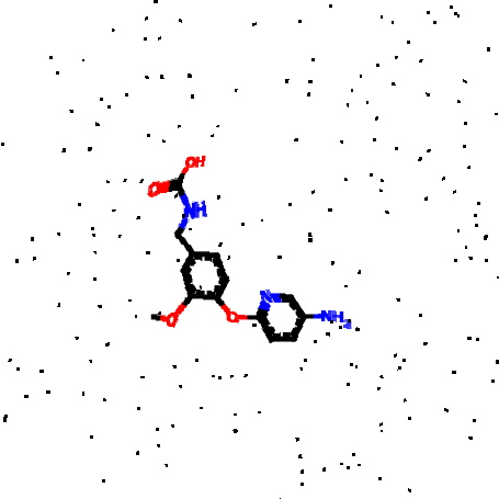 COc1cc(CNC(=O)O)ccc1Oc1ccc(N)cn1